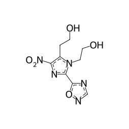 O=[N+]([O-])c1nc(-c2ncno2)n(CCO)c1CCO